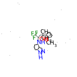 COc1ccccc1C(C)(C)CC(O)(CNc1cccc2[nH]ncc12)C(F)(F)F